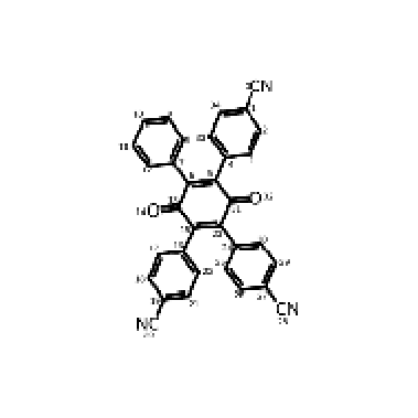 N#Cc1ccc(C2=C(c3ccccc3)C(=O)C(c3ccc(C#N)cc3)=C(c3ccc(C#N)cc3)C2=O)cc1